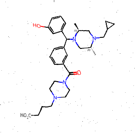 C[C@@H]1CN(C(c2cccc(O)c2)c2cccc(C(=O)N3CCN(CCCC(=O)O)CC3)c2)[C@@H](C)CN1CC1CC1